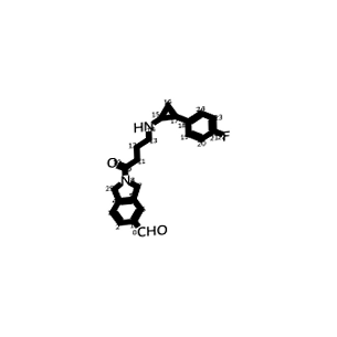 O=Cc1ccc2c(c1)CN(C(=O)CCCNC1CC1c1ccc(F)cc1)C2